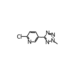 Cn1nnc(-c2ccc(Cl)nc2)n1